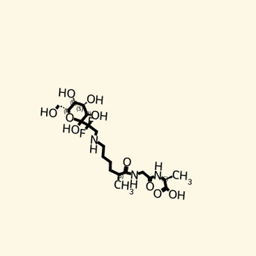 C[C@H](NC(=O)CNC(=O)[C@@H](C)CCCCNCC(F)(F)C1(O)O[C@H](CO)[C@H](O)[C@H](O)[C@H]1O)C(=O)O